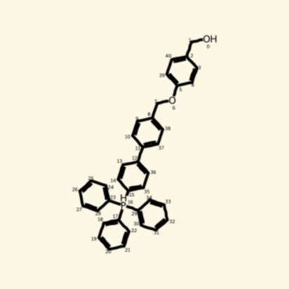 OCc1ccc(OCc2ccc(-c3ccc([PH](c4ccccc4)(c4ccccc4)c4ccccc4)cc3)cc2)cc1